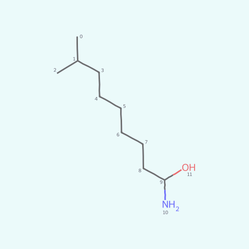 CC(C)CCCCCCC(N)O